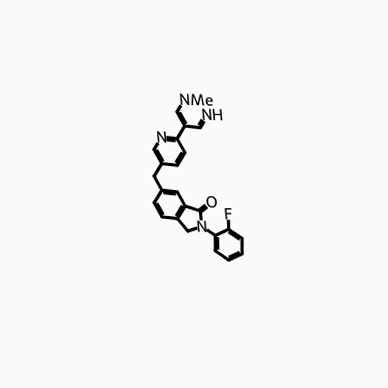 CN/C=C(\C=N)c1ccc(Cc2ccc3c(c2)C(=O)N(c2ccccc2F)C3)cn1